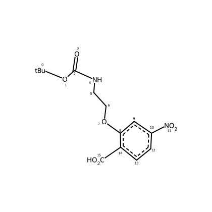 CC(C)(C)OC(=O)NCCOc1cc([N+](=O)[O-])ccc1C(=O)O